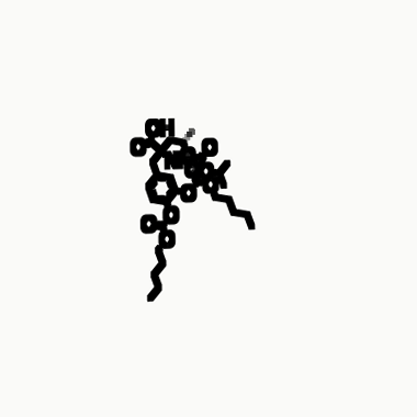 CCCCCOC(=O)Oc1ccc(CC(N)(C[C@H](C)OC(=O)OC(C)C)C(=O)O)cc1OC(=O)OCCCCC